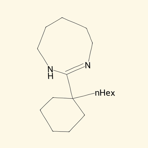 CCCCCCC1(/C2=N/CCCCCN2)CCCCC1